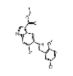 CCOC(=O)c1cnn2cc(Br)c(NCc3cc(Cl)cnc3OC)nc12